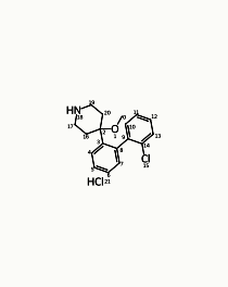 COC1(c2ccccc2-c2ccccc2Cl)CCNCC1.Cl